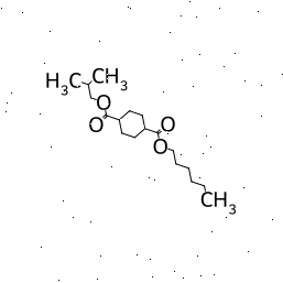 CCCCCCOC(=O)C1CCC(C(=O)OCC(C)C)CC1